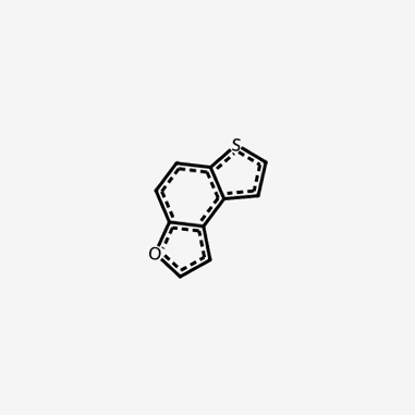 c1cc2c(ccc3sccc32)o1